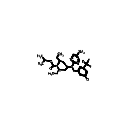 CCC1CC(N(Cc2cc(Cl)cc(C(F)(F)F)c2)c2ncc(N)cn2)C[C@@H](CC)N1C(=O)OC(C)C